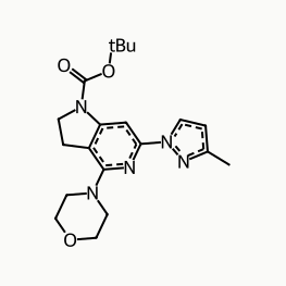 Cc1ccn(-c2cc3c(c(N4CCOCC4)n2)CCN3C(=O)OC(C)(C)C)n1